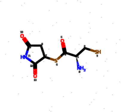 N[C@@H](CS)C(=O)SC1CC(=O)NC1=O